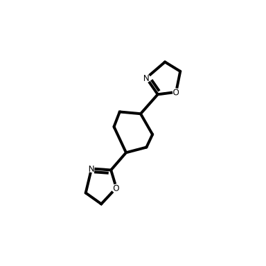 C1COC(C2CCC(C3=NCCO3)CC2)=N1